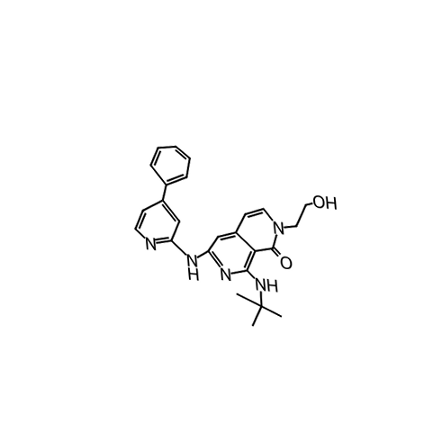 CC(C)(C)Nc1nc(Nc2cc(-c3ccccc3)ccn2)cc2ccn(CCO)c(=O)c12